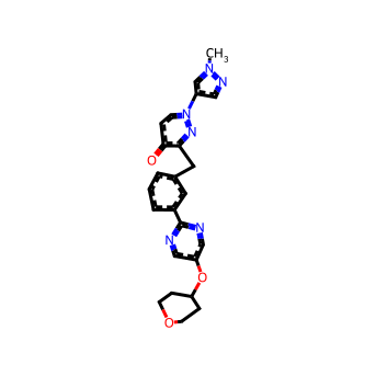 Cn1cc(-n2ccc(=O)c(Cc3cccc(-c4ncc(OC5CCOCC5)cn4)c3)n2)cn1